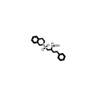 O=S(=O)(CC(CCc1ccccc1)NO)N1CCc2ccccc2C1